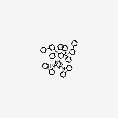 c1ccc(-c2cccc([Si](c3ccccc3)(c3ccccc3)c3cc(-c4nc(Nc5ccccc5-c5ccccc5)nc(-n5c6ccccc6c6ccccc65)n4)cc([Si](c4ccccc4)(c4ccccc4)c4cccc(-c5ccccc5)c4)c3)c2)cc1